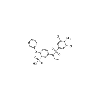 CCN(c1ccc(Oc2ccccc2)c(S(=O)(=O)O)c1)S(=O)(=O)c1cc(Cl)c(N)c(Cl)c1